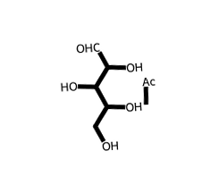 CC(C)=O.O=CC(O)C(O)C(O)CO